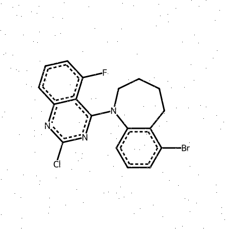 Fc1cccc2nc(Cl)nc(N3CCCCc4c(Br)cccc43)c12